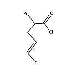 CC(C)C(C/C=C/Cl)C(=O)Cl